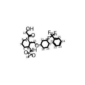 CS(=O)(=O)N[C@H]1CCCN(C(=O)CO)C1CO[C@H]1CC[C@@H](c2ccccc2C(F)(F)F)CC1